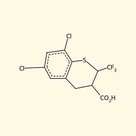 O=C(O)C1Cc2cc(Cl)cc(Cl)c2SC1C(F)(F)F